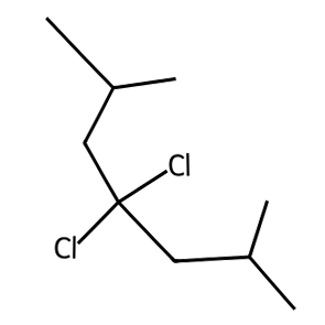 CC(C)CC(Cl)(Cl)CC(C)C